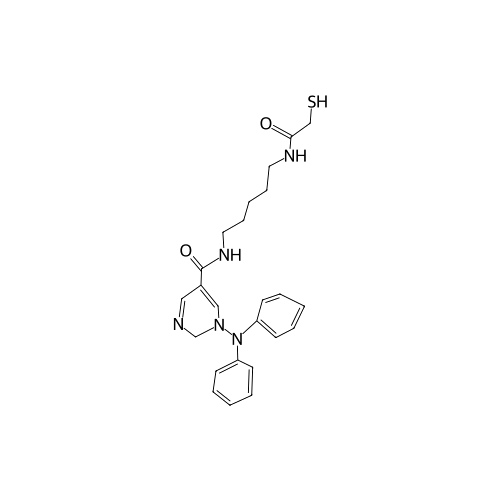 O=C(CS)NCCCCCNC(=O)C1=CN(N(c2ccccc2)c2ccccc2)CN=C1